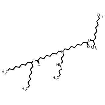 CCCCCCCCC(CC)OC(=O)CCCCCCCN(CCCCCCCC(=O)OC(CCCCCCCC)CCCCCCCC)CCCNSCCC